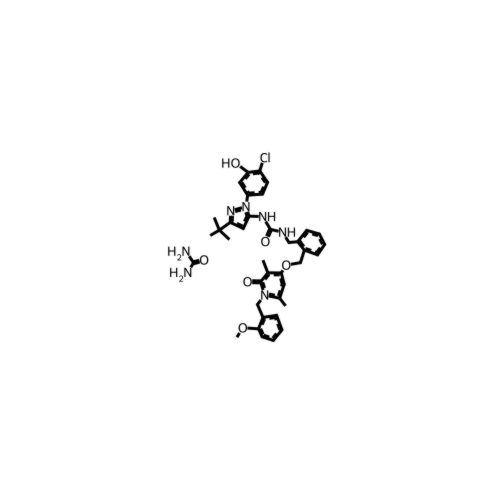 COc1ccccc1Cn1c(C)cc(OCc2ccccc2CNC(=O)Nc2cc(C(C)(C)C)nn2-c2ccc(Cl)c(O)c2)c(C)c1=O.NC(N)=O